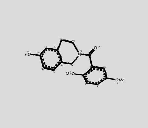 COc1ccc(OC)c(C(=O)N2CCc3cc(O)ccc3C2)c1